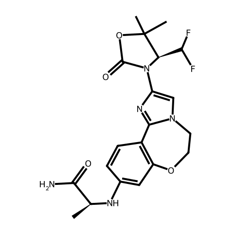 C[C@H](Nc1ccc2c(c1)OCCn1cc(N3C(=O)OC(C)(C)[C@H]3C(F)F)nc1-2)C(N)=O